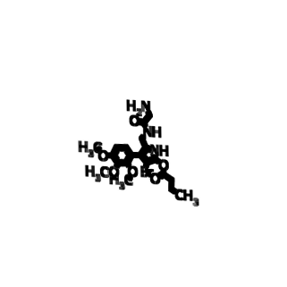 CCCC(=O)Oc1[nH]c(CNC(=O)CN)c(-c2ccc(OC)c(OC)c2OC)c1Br